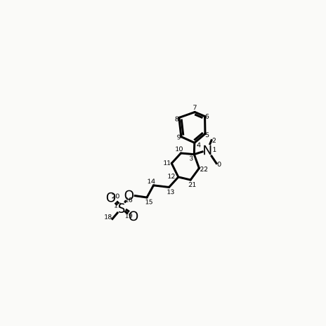 CN(C)C1(c2ccccc2)CCC(CCCOS(C)(=O)=O)CC1